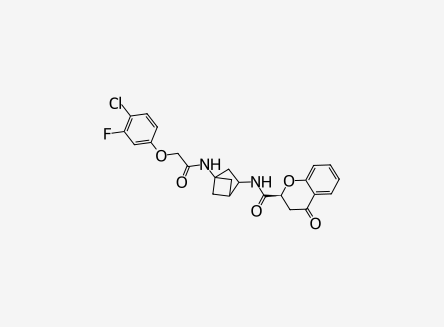 O=C(COc1ccc(Cl)c(F)c1)NC12CC(C1)C(NC(=O)[C@@H]1CC(=O)c3ccccc3O1)C2